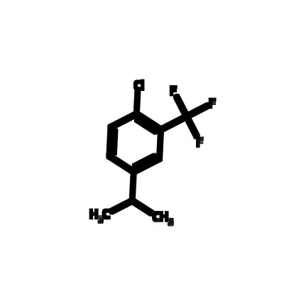 CC(C)c1ccc(Cl)c(C(F)(F)F)c1